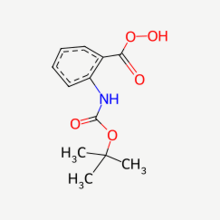 CC(C)(C)OC(=O)Nc1ccccc1C(=O)OO